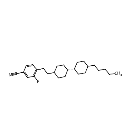 CCCCC[C@H]1CC[C@H](C2CCC(CCc3ccc(C#N)cc3F)CC2)CC1